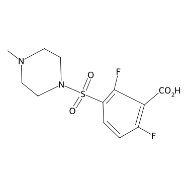 CN1CCN(S(=O)(=O)c2ccc(F)c(C(=O)O)c2F)CC1